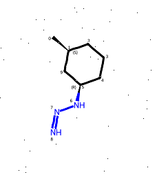 C[C@H]1CCC[C@@H](NN=N)C1